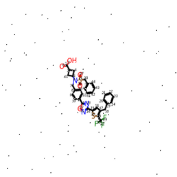 O=C(O)C1CC(N(Cc2ccc(-c3nc(-c4cc(Cc5ccccc5)c(C(F)(F)F)s4)no3)cc2)S(=O)(=O)Cc2ccccc2)C1